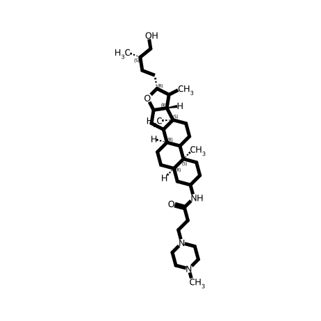 CC1[C@H]2C(CC3[C@@H]4CC[C@@H]5CC(NC(=O)CCN6CCN(C)CC6)CC[C@]5(C)C4CC[C@@]32C)O[C@@H]1CC[C@H](C)CO